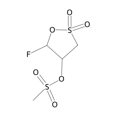 CS(=O)(=O)OC1CS(=O)(=O)OC1F